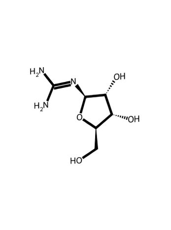 NC(N)=N[C@@H]1O[C@H](CO)[C@@H](O)[C@H]1O